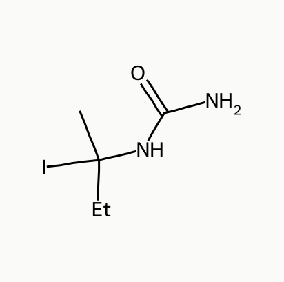 CCC(C)(I)NC(N)=O